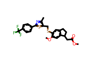 COC(=O)CC1CCc2cc(SCc3sc(-c4ccc(C(F)(F)F)cc4)nc3C)c(OC)cc21